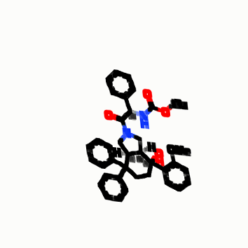 COc1ccccc1[C@]1(O)CCC(c2ccccc2)(c2ccccc2)[C@H]2CN(C(=O)[C@@H](NC(=O)OC(C)(C)C)c3ccccc3)C[C@H]21